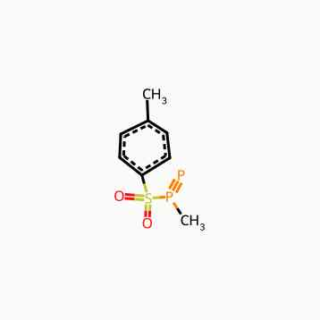 Cc1ccc(S(=O)(=O)P(C)#P)cc1